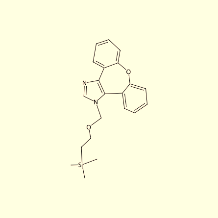 C[Si](C)(C)CCOCn1cnc2c1-c1ccccc1Oc1ccccc1-2